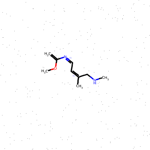 C=C(/N=C\C=C(\C)CNC)OC